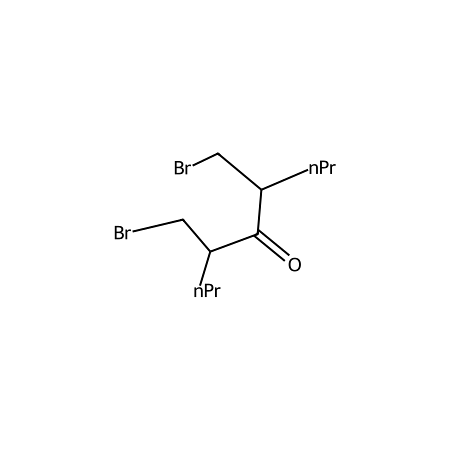 CCCC(CBr)C(=O)C(CBr)CCC